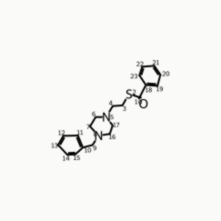 O=C(SCCN1CCN(Cc2ccccc2)CC1)c1ccccc1